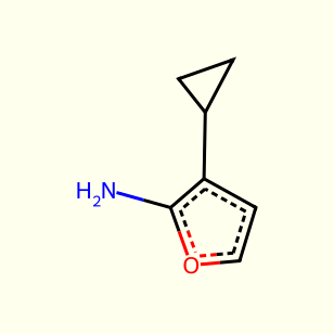 Nc1occc1C1CC1